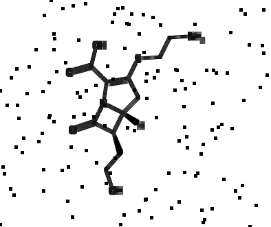 NCCSC1=C(C(=O)O)N2C(=O)[C@H](CCO)[C@H]2C1